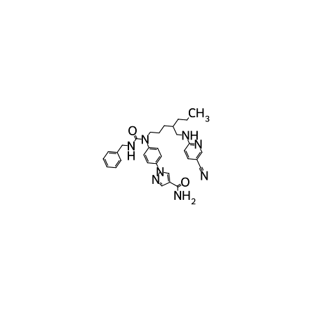 CCCC(CCCN(C(=O)NCc1ccccc1)c1ccc(-n2cc(C(N)=O)cn2)cc1)CNc1ccc(C#N)cn1